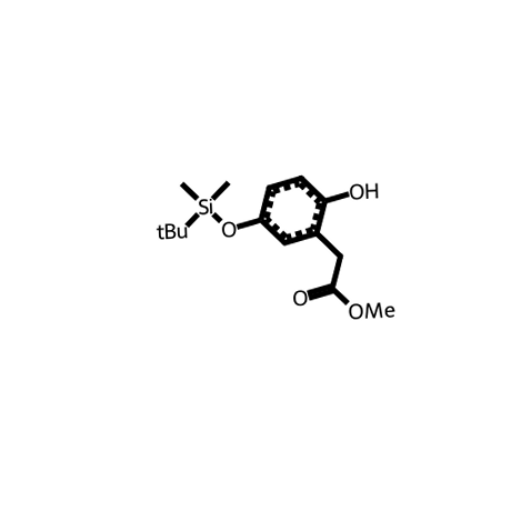 COC(=O)Cc1cc(O[Si](C)(C)C(C)(C)C)ccc1O